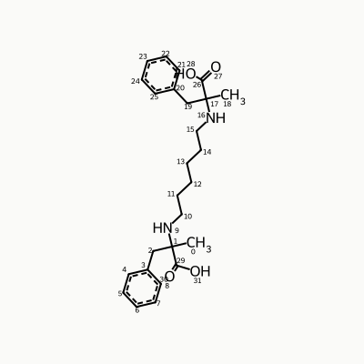 CC(Cc1ccccc1)(NCCCCCCNC(C)(Cc1ccccc1)C(=O)O)C(=O)O